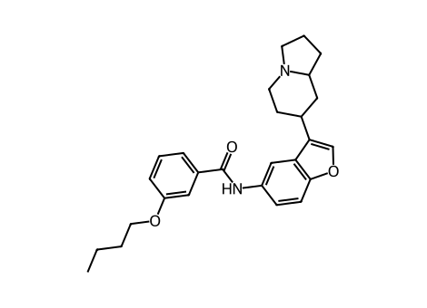 CCCCOc1cccc(C(=O)Nc2ccc3occ(C4CCN5CCCC5C4)c3c2)c1